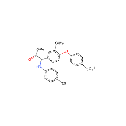 COC(=O)C(Nc1ccc(C#N)cc1)c1ccc(Oc2ccc(C(=O)O)cc2)c(OC)c1